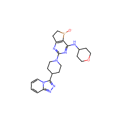 [O-][S+]1CCc2nc(N3CCC(c4nnc5ccccn45)CC3)nc(NC3CCOCC3)c21